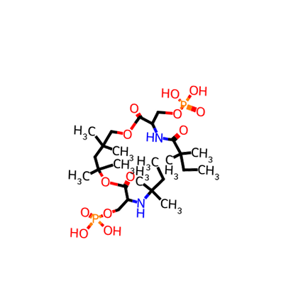 CCC(C)(C)NC(COP(=O)(O)O)C(=O)OC(C)(C)CC(C)(C)COC(=O)C(COP(=O)(O)O)NC(=O)C(C)(C)CC